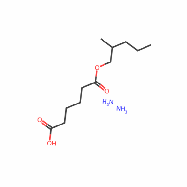 CCCC(C)COC(=O)CCCCC(=O)O.N.N